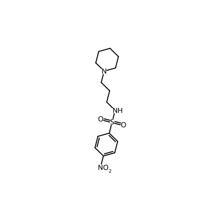 O=[N+]([O-])c1ccc(S(=O)(=O)NCCCN2CCCCC2)cc1